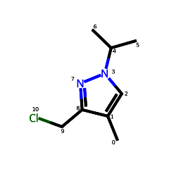 Cc1cn(C(C)C)nc1CCl